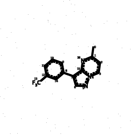 Cc1ccn2ncc(-c3cccc(C(F)(F)F)c3)c2n1